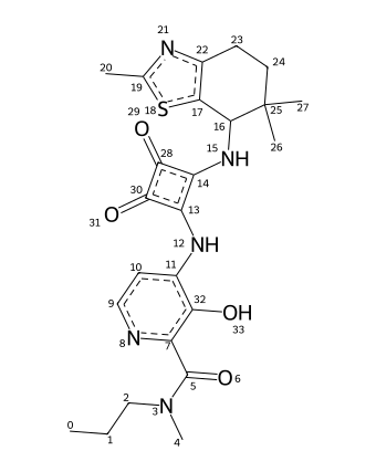 CCCN(C)C(=O)c1nccc(Nc2c(NC3c4sc(C)nc4CCC3(C)C)c(=O)c2=O)c1O